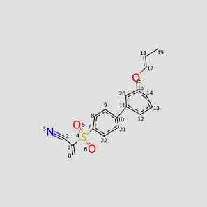 C=C(C#N)S(=O)(=O)c1ccc(-c2cccc(OC=CC)c2)cc1